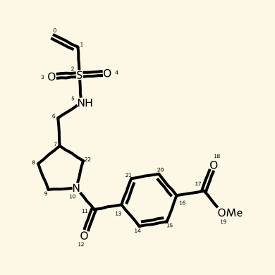 C=CS(=O)(=O)NCC1CCN(C(=O)c2ccc(C(=O)OC)cc2)C1